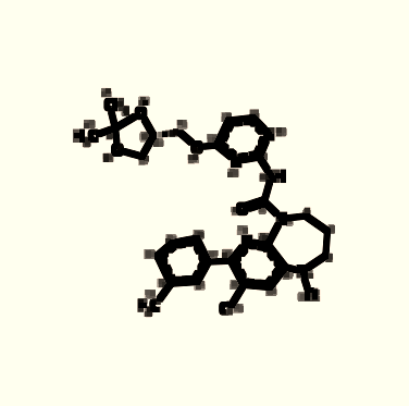 CCN1CCCN(C(=O)Nc2nccc(OC[C@@H]3COC(C)(C)O3)n2)c2nc(-c3cccc(C(F)(F)F)c3)c(Cl)cc21